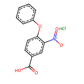 Cl.O=C(O)c1ccc(Oc2ccccc2)c([N+](=O)[O-])c1